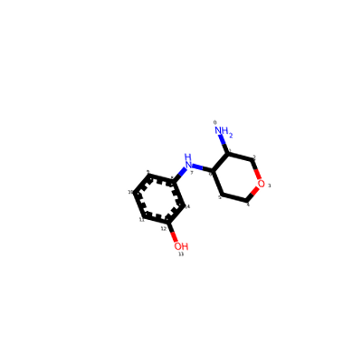 NC1[CH]OCCC1Nc1cccc(O)c1